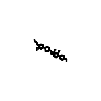 CCCCc1ccc(C2CCC(COc3ccc(-c4ccc(CC)cc4)c(F)c3F)CC2)cc1F